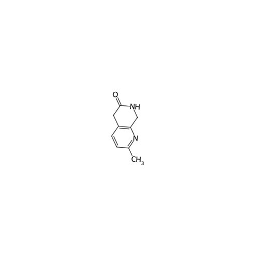 Cc1ccc2c(n1)CNC(=O)C2